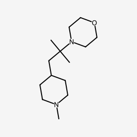 CN1CCC(CC(C)(C)N2CCOCC2)CC1